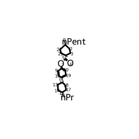 CCCCC[C@H]1CC[C@H](C(=O)Oc2ccc([C@H]3CC[C@H](CCC)CC3)cc2)CC1